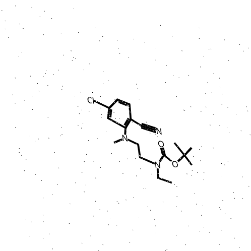 CCN(CCN(C)c1cc(Cl)ccc1C#N)C(=O)OC(C)(C)C